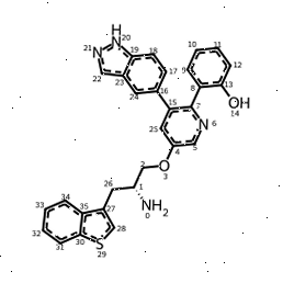 N[C@@H](COc1cnc(-c2ccccc2O)c(-c2ccc3[nH]ncc3c2)c1)Cc1csc2ccccc12